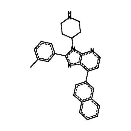 Cc1cccc(-c2nc3c(-c4ccc5ccccc5c4)ccnc3n2C2CCNCC2)c1